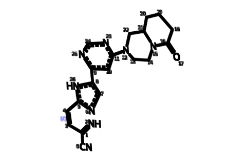 N#CC(=N)/C=C\c1ncc(-c2cc(N3CCN4C(=O)CCCC4C3)ncn2)[nH]1